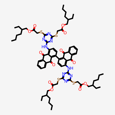 CCCCC(CC)COC(=O)CSc1nc(Nc2ccc(-c3ccc(Nc4nc(SCC(=O)OCC(CC)CCCC)nc(SCC(=O)OCC(CC)CCCC)n4)c4c3C(=O)c3ccccc3C4=O)c3c2C(=O)c2ccccc2C3=O)nc(SCC(=O)OCC(CC)CCCC)n1